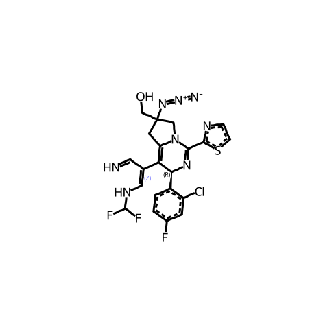 [N-]=[N+]=NC1(CO)CC2=C(/C(C=N)=C/NC(F)F)[C@H](c3ccc(F)cc3Cl)N=C(c3nccs3)N2C1